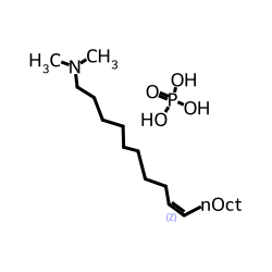 CCCCCCCC/C=C\CCCCCCCCN(C)C.O=P(O)(O)O